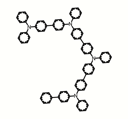 c1ccc(-c2ccc(N(c3ccccc3)c3ccc(-c4ccc(N(c5ccccc5)c5ccc(-c6ccc(N(c7ccccc7)c7ccc(-c8ccc(N(c9ccccc9)c9ccccc9)cc8)cc7)cc6)cc5)cc4)cc3)cc2)cc1